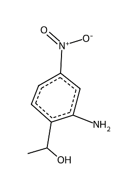 CC(O)c1ccc([N+](=O)[O-])cc1N